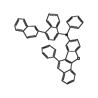 c1ccc(-c2cc3ccccc3c3oc4ccc(N(c5ccccc5)c5ccc(-c6ccc7ccccc7c6)c6ccccc56)cc4c23)cc1